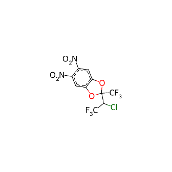 O=[N+]([O-])c1cc2c(cc1[N+](=O)[O-])OC(C(Cl)C(F)(F)F)(C(F)(F)F)O2